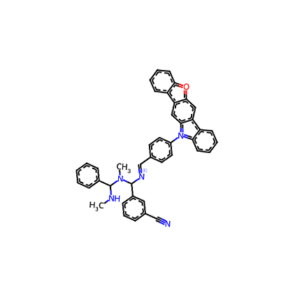 CNC(c1ccccc1)N(C)C(/N=C/c1ccc(-n2c3ccccc3c3cc4oc5ccccc5c4cc32)cc1)c1cccc(C#N)c1